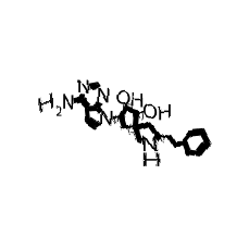 Nc1ncnc2c1ccn2[C@@H]1C[C@@]2(CN[C@H](CCc3ccccc3)C2)[C@@H](O)[C@H]1O